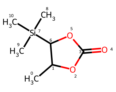 CC1OC(=O)OC1[Si](C)(C)C